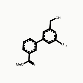 COC(=O)c1cccc(-c2cc(C)nc(CO)c2)c1